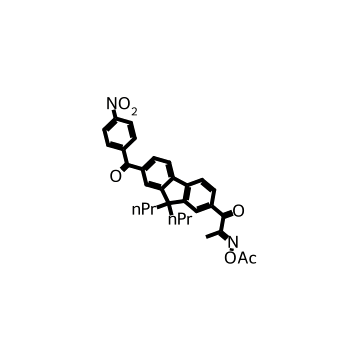 CCCC1(CCC)c2cc(C(=O)/C(C)=N/OC(C)=O)ccc2-c2ccc(C(=O)c3ccc([N+](=O)[O-])cc3)cc21